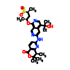 CCC(C)(O)c1cnc(O[C@H](C)C[C@@H](C)[SH](=O)=O)c2cnc(Nc3ccc4c(n3)[C@@H](C)C(C)(C)OC4=O)cc12